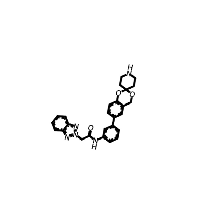 O=C(Cn1nc2ccccc2n1)Nc1cccc(-c2ccc3c(c2)COC2(CCNCC2)O3)c1